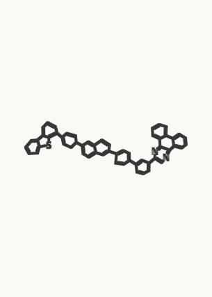 C1=CC(c2ccc3cc(-c4ccc(-c5cccc(-c6cnc7c8ccccc8c8ccccc8c7n6)c5)cc4)ccc3c2)CC=C1c1cccc2c1sc1ccccc12